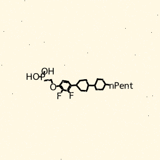 CCCCCC1CCC(C2CCC(c3ccc(OCCP(O)O)c(F)c3F)CC2)CC1